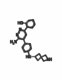 Nc1nnc(-c2ccccc2O)cc1-c1ccc(NC2CC3(CNC3)C2)cc1